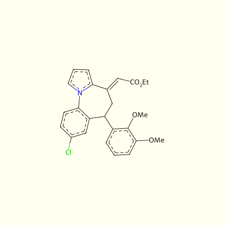 CCOC(=O)C=C1CC(c2cccc(OC)c2OC)c2cc(Cl)ccc2-n2cccc21